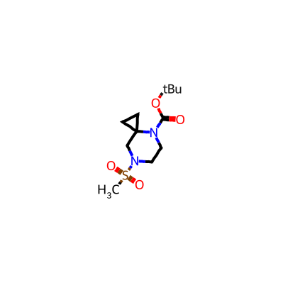 CC(C)(C)OC(=O)N1CCN(S(C)(=O)=O)CC12CC2